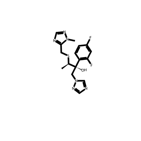 C[C@@H](SCc1ncnn1C)[C@](O)(Cn1cncn1)c1ccc(F)cc1F